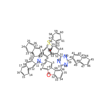 c1ccc(-c2cc3c(cc2-n2c4cc5ccccc5cc4c4c5ccccc5ccc42)oc2cccc(-c4nc(-c5ccc6ccccc6c5)nc(-c5ccc6sc7ccccc7c6c5)n4)c23)cc1